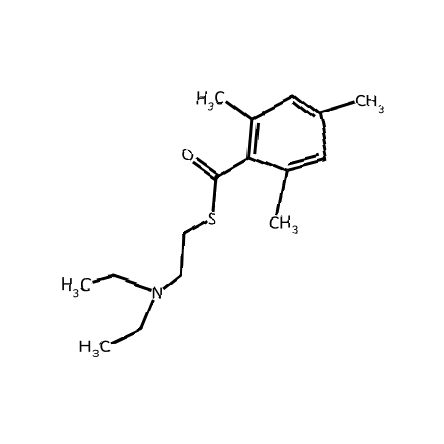 CCN(CC)CCSC(=O)c1c(C)cc(C)cc1C